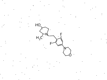 CC1CC(O)CCN1CCc1c(F)cc(N2CCOCC2)cc1F